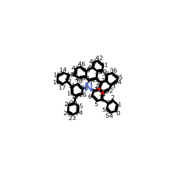 c1ccc(-c2ccc(N(c3cc(-c4ccccc4)cc(-c4ccccc4)c3)c3c(-c4cccc5ccccc45)c4ccccc4c4ccccc34)cc2)cc1